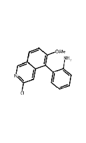 COc1ccc2cnc(Cl)cc2c1-c1ccccc1N